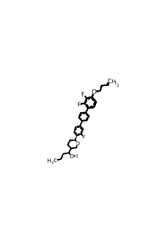 C=CCCOc1ccc(-c2ccc(-c3ccc(C4CCC(C(O)CCC)CO4)c(F)c3)cc2)c(F)c1F